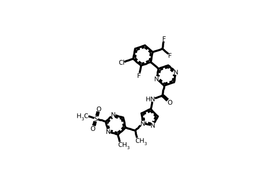 Cc1nc(S(C)(=O)=O)ncc1C(C)n1cc(NC(=O)c2cncc(-c3c(C(F)F)ccc(Cl)c3F)n2)cn1